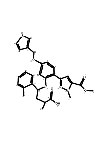 COC(=O)c1cc(-c2ccc(OCc3ccsc3)cc2OC(CC(C)C(=O)O)c2ccccc2C)nn1C